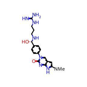 CNc1cc2cn(-c3ccc([C@H](O)NCCCNC(=N)N)cc3)c(=O)nc2[nH]1